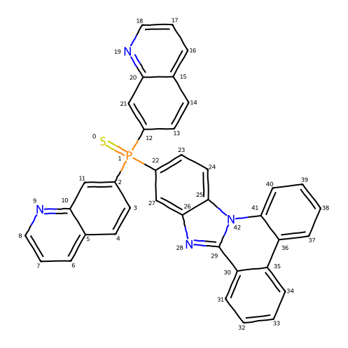 S=P(c1ccc2cccnc2c1)(c1ccc2cccnc2c1)c1ccc2c(c1)nc1c3ccccc3c3ccccc3n21